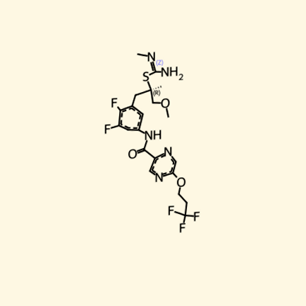 C/N=C(/N)S[C@@](C)(COC)Cc1cc(NC(=O)c2cnc(OCCC(F)(F)F)cn2)cc(F)c1F